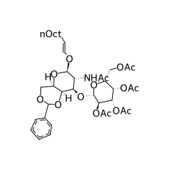 CCCCCCCCC=CO[C@@H]1O[C@@H]2COC(c3ccccc3)O[C@@H]2[C@H](O[C@@H]2O[C@H](COC(C)=O)[C@H](OC(C)=O)[C@H](OC(C)=O)[C@H]2OC(C)=O)[C@H]1NC(C)=O